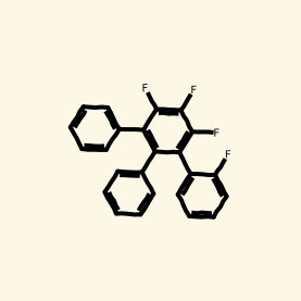 Fc1ccccc1-c1c(F)c(F)c(F)c(-c2ccccc2)c1-c1ccccc1